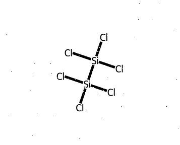 Cl[Si](Cl)(Cl)[Si](Cl)(Cl)Cl